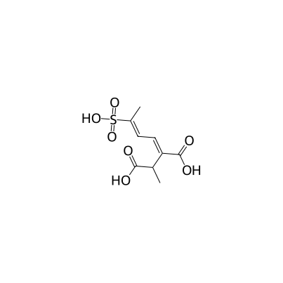 C/C(=C\C=C(\C(=O)O)C(C)C(=O)O)S(=O)(=O)O